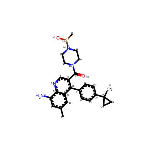 Cc1cc(N)c2ncc(C(=O)N3CCN([S+](C)[O-])CC3)c(-c3ccc(C4(C#N)CC4)cc3)c2c1